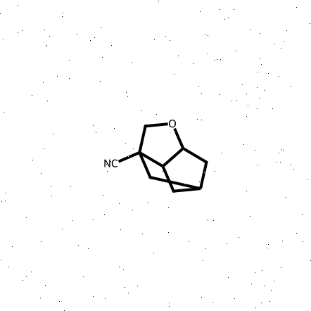 N#CC12COC3CC(CC31)C2